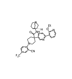 CCOc1ncccc1-c1ccc(C2(C(=O)N[C@@H]3CN4CCC3CC4)CCN(c3ccc(C(F)(F)F)cc3C#N)CC2)cn1